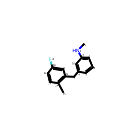 CNc1cccc(Cc2cc(F)ccc2C)c1